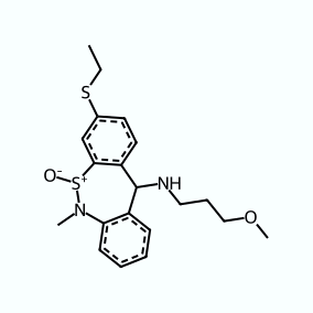 CCSc1ccc2c(c1)[S+]([O-])N(C)c1ccccc1C2NCCCOC